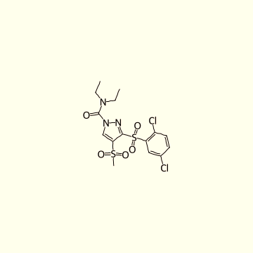 CCN(CC)C(=O)n1cc(S(C)(=O)=O)c(S(=O)(=O)c2cc(Cl)ccc2Cl)n1